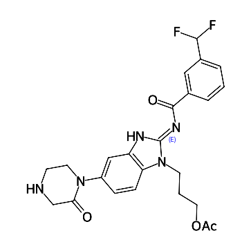 CC(=O)OCCCn1/c(=N/C(=O)c2cccc(C(F)F)c2)[nH]c2cc(N3CCNCC3=O)ccc21